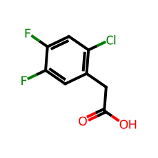 O=C(O)Cc1cc(F)c(F)cc1Cl